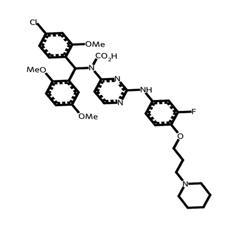 COc1ccc(OC)c(C(c2ccc(Cl)cc2OC)N(C(=O)O)c2ccnc(Nc3ccc(OCCCN4CCCCC4)c(F)c3)n2)c1